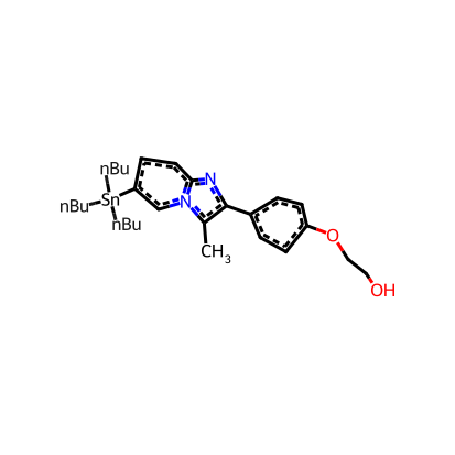 CCC[CH2][Sn]([CH2]CCC)([CH2]CCC)[c]1ccc2nc(-c3ccc(OCCO)cc3)c(C)n2c1